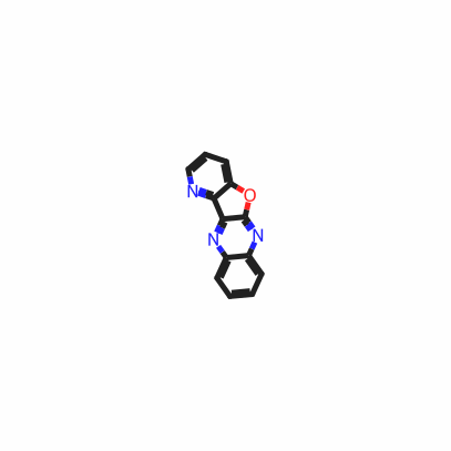 c1ccc2nc3c(nc2c1)oc1cccnc13